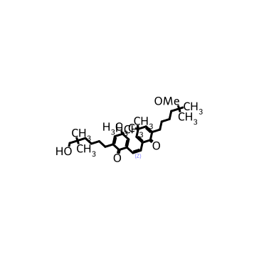 COC(C)(C)CCCCC1=CC(C)(C)C=C(/C=C\C2=CC(C)(C)C=C(CCCCC(C)(C)CO)C2=O)C1=O